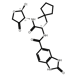 CC[C@@H]1OCC(=O)[C@H]1NC(=O)[C@H](CC1(C)CCCC1)NC(=O)c1ccc2[nH]c(=O)[nH]c2c1